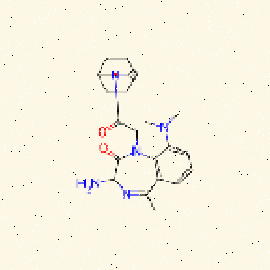 CC1=NC(N)C(=O)N(CC(=O)N2CC3CCC(CC3)C2)c2c1cccc2N(C)C